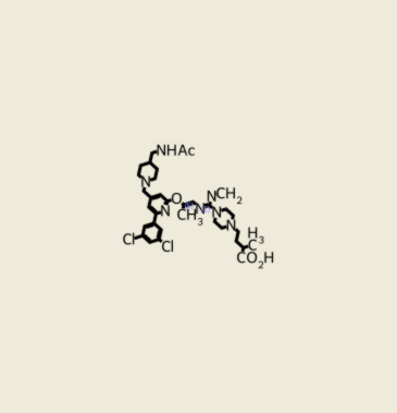 C=N/C(=N\C=C(/C)Oc1cc(CN2CCC(CNC(C)=O)CC2)cc(-c2cc(Cl)cc(Cl)c2)n1)N1CCN(CCC(C)C(=O)O)CC1